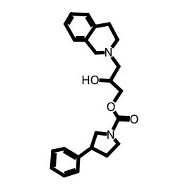 O=C(OCC(O)CN1CCc2ccccc2C1)N1CCC(c2ccccc2)C1